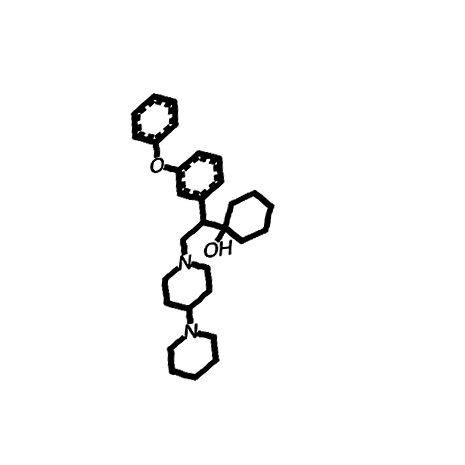 OC1(C(CN2CCC(N3CCCCC3)CC2)c2cccc(Oc3ccccc3)c2)CCCCC1